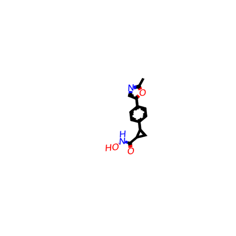 Cc1ncc(-c2ccc(C3CC3C(=O)NO)cc2)o1